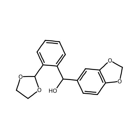 OC(c1ccc2c(c1)OCO2)c1ccccc1C1OCCO1